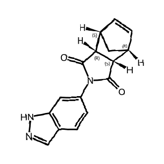 O=C1[C@@H]2[C@H](C(=O)N1c1ccc3cn[nH]c3c1)[C@@H]1C=C[C@H]2C1